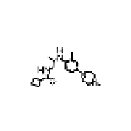 Cc1cc(N2CCN(C)CC2)ccc1NC(C)CNC(=O)C1CCC1